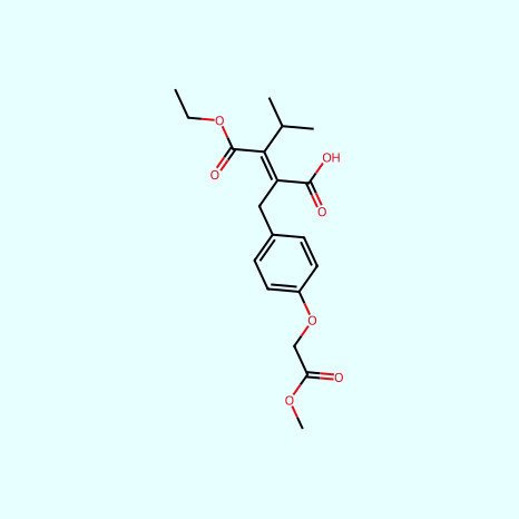 CCOC(=O)C(=C(Cc1ccc(OCC(=O)OC)cc1)C(=O)O)C(C)C